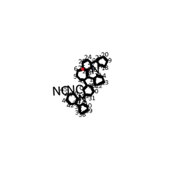 N#Cc1c(C2=CCC=CC=C2c2ccccc2N2c3ccccc3C3C=CCCC32)cccc1-n1c2c(c3ccccc31)C=CC(C#N)C2